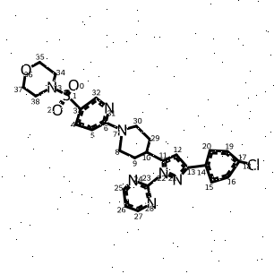 O=S(=O)(c1ccc(N2CCC(c3cc(-c4ccc(Cl)cc4)nn3-c3ncccn3)CC2)nc1)N1CCOCC1